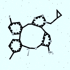 Cc1ccc2c(c1)[C@@H](C)Oc1cc(cnc1N)-c1c(nnn1CC1CC1)Cc1cc(F)cnc1-2